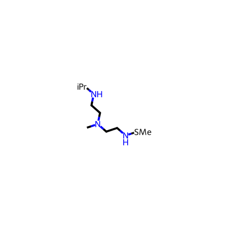 CSNCCN(C)CCNC(C)C